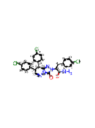 NC(=O)C(Cc1ccc(Cl)cc1)n1nc2c(-c3ccc(Cl)cc3)c(-c3ccc(Cl)cc3)cnn2c1=O